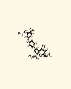 CC(Nc1cc(C(N)=O)nc(-c2ccc(Oc3ccc(C#N)c(C(F)(F)F)c3)cc2)n1)C(N)=O